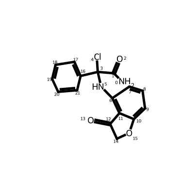 NC(=O)C(Cl)(Nc1cccc2c1C(=O)CO2)c1ccccc1